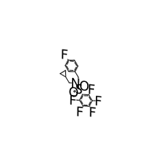 O=S(=O)(c1c(F)c(F)c(F)c(F)c1F)N(Cc1ccc(F)cc1)CC1CC1